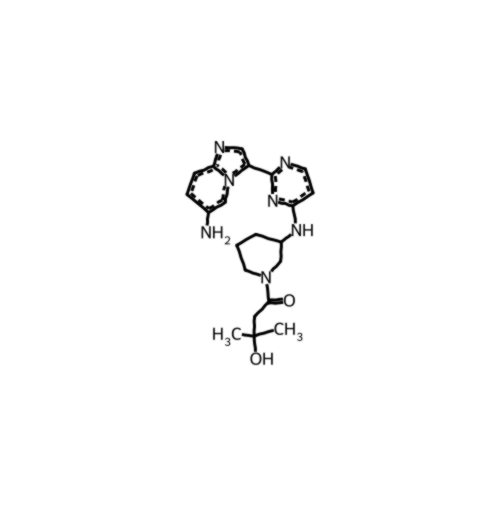 CC(C)(O)CC(=O)N1CCCC(Nc2ccnc(-c3cnc4ccc(N)cn34)n2)C1